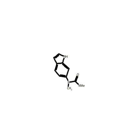 CNC(=O)N(C)c1ccc2cc[nH]c2c1